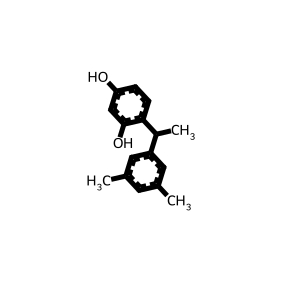 Cc1cc(C)cc(C(C)c2ccc(O)cc2O)c1